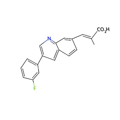 C/C(=C\c1ccc2cc(-c3cccc(F)c3)cnc2c1)C(=O)O